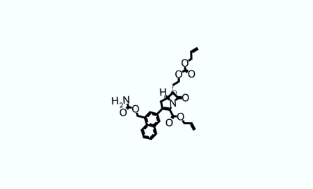 C=CCOC(=O)OCC[C@@H]1C(=O)N2C(C(=O)OCC=C)=C(c3cc(COC(N)=O)c4ccccc4c3)C[C@H]12